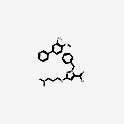 CN(C)CCCOc1cc(C(=O)O)n(Cc2ccccc2)n1.COc1ccc(-c2ccccc2)cc1N